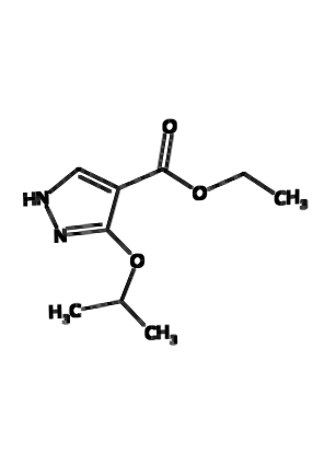 CCOC(=O)c1c[nH]nc1OC(C)C